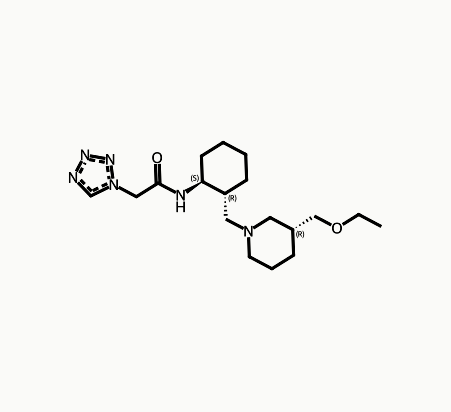 CCOC[C@@H]1CCCN(C[C@H]2CCCC[C@@H]2NC(=O)Cn2cnnn2)C1